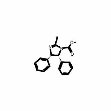 CC1=N[C@@H](c2ccccc2)[C@@H](c2ccccc2)N1C(=O)O